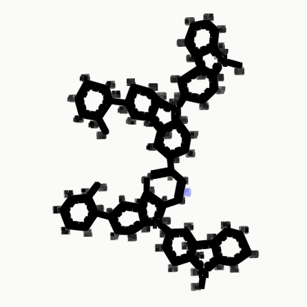 C=C(/C=C\c1c(C)c2cc(-c3ccccc3C)ccc2n1-c1ccc2c(c1)c1ccccc1n2C)c1ccc2c(c1)c1cc(-c3ccccc3C)ccc1n2-c1ccc2c(c1)c1ccccc1n2C